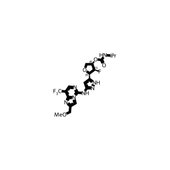 COCc1cn2c(Nc3cc([C@H]4OC[C@@H](OC(=O)NC(C)C)[C@H]4F)[nH]n3)ncc(C(F)(F)F)c2n1